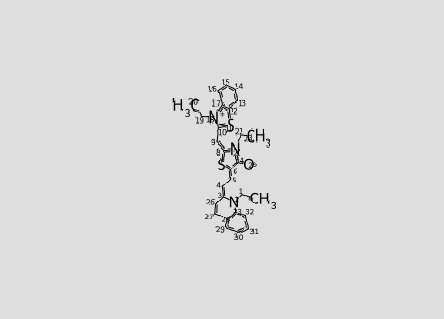 CCN1C(=CC=c2sc(=Cc3sc4ccccc4[n+]3CC)n(CC)c2=O)C=Cc2ccccc21